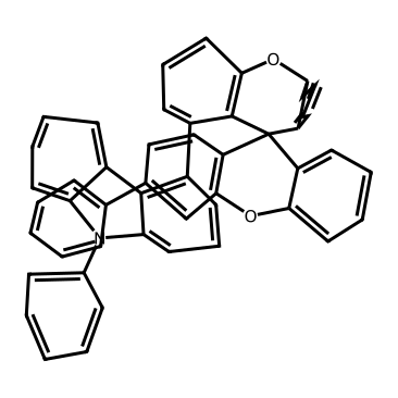 c1ccc(-c2ccc3c(c2)Oc2ccccc2C32c3ccccc3Oc3cccc(-c4cccc5c4c4ccccc4n5-c4ccccc4)c32)cc1